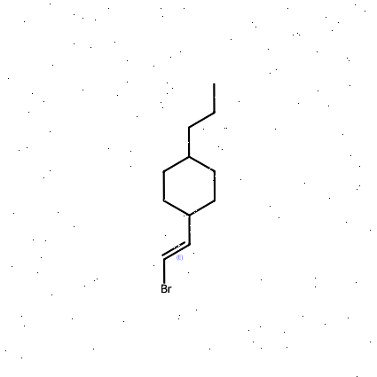 CCCC1CCC(/C=C/Br)CC1